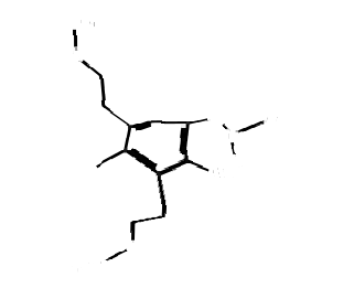 CCCCCCCCSCCc1cc(OP(O)O)c(C(C)(C)C)c(CCSCCCCCCCC)c1C